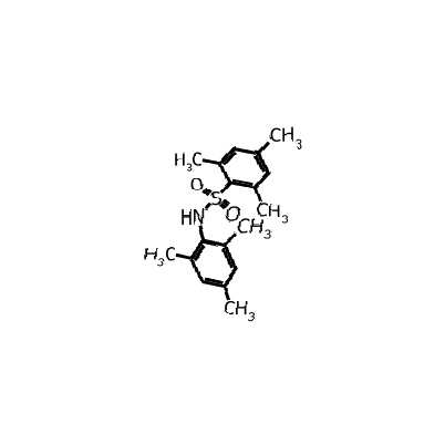 Cc1cc(C)c(NS(=O)(=O)c2c(C)cc(C)cc2C)c(C)c1